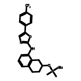 CC(C)(C)[Si](C)(C)OC1CCc2cccc(Nc3ncc(-c4ccc(C(F)(F)F)cc4)o3)c2C1